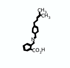 CC(C)=CCCC1=CCC(C=NCc2ccccc2C(=O)O)CC1